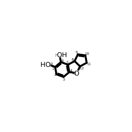 Oc1ccc2c(c1O)C1C=CCC1O2